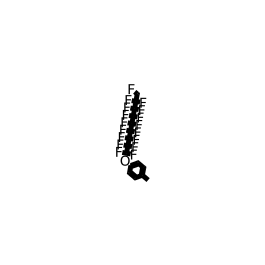 Cc1ccc(OC(F)(F)C(F)(F)C(F)(F)C(F)(F)C(F)(F)C(F)(F)C(F)(F)C(F)(F)CF)cc1